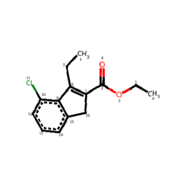 CCOC(=O)C1=C(CC)c2c(Cl)cccc2C1